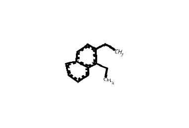 CCc1ccc2c[c]ccc2c1CC